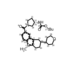 Cn1c2c(c3cc(C(=O)N4CC[C@H](NC(=O)OC(C)(C)C)C4)ccc31)CC(C1CCOCC1)CC2